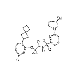 O=C(NS(=O)(=O)c1cccc(N2CC[C@@H](O)C2)n1)C1(Oc2cc(Cl)ccc2C2CC3(CCC3)C2)CC1